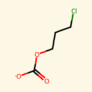 [O]C(=O)OCCCCl